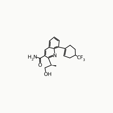 C[C@@H](CO)c1nc2c(C3=CCC(C(F)(F)F)CC3)cccc2cc1C(N)=O